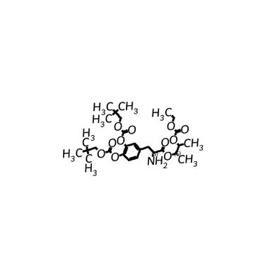 CCOC(=O)OC(C)[C@H](C)OC(=O)[C@@H](N)Cc1ccc(OC(=O)OCC(C)(C)C)c(OC(=O)OCC(C)(C)C)c1